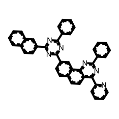 c1ccc(-c2nc(-c3ccc4ccccc4c3)nc(-c3ccc4ccc5c(-c6ccccn6)nc(-c6ccccc6)nc5c4c3)n2)cc1